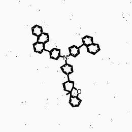 CC12C=CC(c3ccc(N(c4ccc(-c5cccc6ccccc56)cc4)c4ccc(-c5cccc6c5ccc5ccccc56)cc4)cc3)=CC1Oc1ccccc12